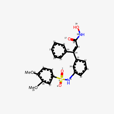 COc1ccc(S(=O)(=O)Nc2cccc(C(=CC(=O)NO)c3ccccc3)c2)cc1OC